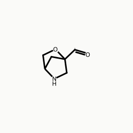 O=[C]C12CNC(CO1)C2